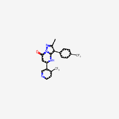 Cc1nn2c(=O)cc(-c3cnccc3C(F)(F)F)[nH]c2c1-c1ccc(C(F)(F)F)cc1